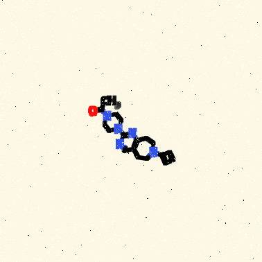 CC(=O)N1CCN(c2ncc3c(n2)CCN(C2=CC=C2)CC3)CC1